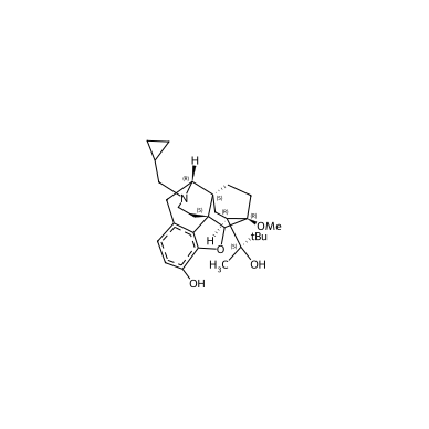 CO[C@]12CC[C@@]3(C[C@@H]1[C@](C)(O)C(C)(C)C)[C@H]1Cc4ccc(O)c5c4[C@@]3(CCN1CC1CC1)C2O5